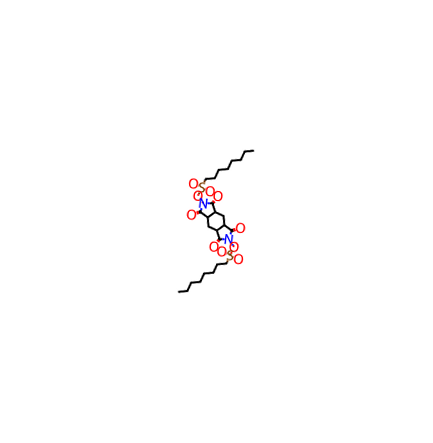 CCCCCCCCS(=O)(=O)ON1C(=O)C2CC3C(=O)N(OS(=O)(=O)CCCCCCCC)C(=O)C3CC2C1=O